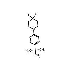 CC(C)(C)c1ccc(N2CCC(F)(F)CC2)cc1